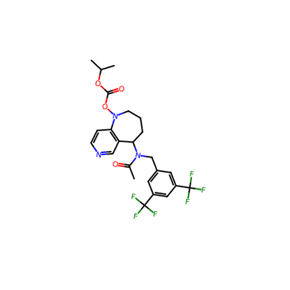 CC(=O)N(Cc1cc(C(F)(F)F)cc(C(F)(F)F)c1)C1CCCN(OC(=O)OC(C)C)c2ccncc21